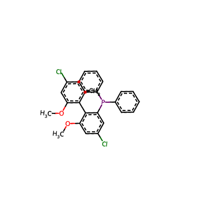 COc1cc(Cl)cc(C)c1-c1c(OC)cc(Cl)cc1P(c1ccccc1)c1ccccc1